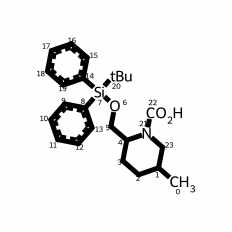 CC1CCC(CO[Si](c2ccccc2)(c2ccccc2)C(C)(C)C)N(C(=O)O)C1